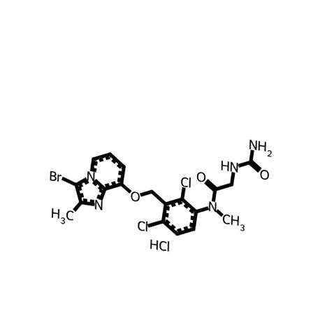 Cc1nc2c(OCc3c(Cl)ccc(N(C)C(=O)CNC(N)=O)c3Cl)cccn2c1Br.Cl